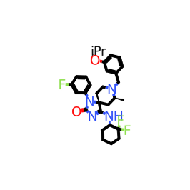 CC(C)Oc1cccc(CN2CC[C@@]3(C[C@@H]2C)C(N[C@@H]2CCCCC2(F)F)=NC(=O)N3c2cccc(F)c2)c1